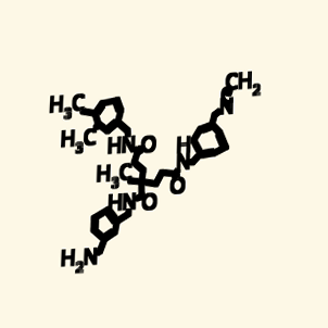 C=C=NCC1=CCC(CNC(=O)CCC(CC)(CCC(=O)NCC2=CC(C)C(CC)=CC=C2)C(=O)NCc2cccc(CN)c2)=CC=C1